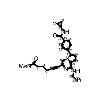 CNC(=O)CCCC#Cc1cn2c(-c3ccc(C(=O)NC4CC4)cc3)cnc2c(NCC(C)C)n1